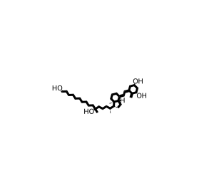 C=C1/C(=C\C=C2/CCC[C@]3(C)[C@@H]([C@H](C)CCCC(C)(O)CCCCCCCCCCO)CC[C@@H]23)C[C@H](O)C[C@H]1O